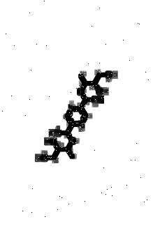 CC(OC(O)c1cnc(C(O)OC(C)C(O)CO)cn1)C(O)CO